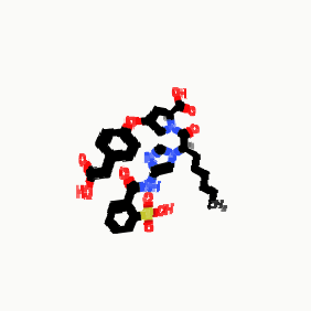 CCCCCC[C@H](C(=O)N1CC(Oc2ccc(CC(=O)O)cc2)C[C@H]1C(=O)O)n1cnc(NC(=O)c2ccccc2S(=O)(=O)O)c1